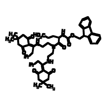 CC(C)CC(NCCN(CCNC(CC(C)C)=C1C(=O)CC(C)(C)CC1=O)C(=O)C(CCC(=O)O)NC(=O)OCC1c2ccccc2-c2ccccc21)=C1C(=O)CC(C)(C)CC1=O